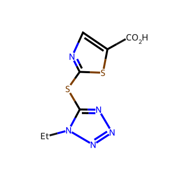 CCn1nnnc1Sc1ncc(C(=O)O)s1